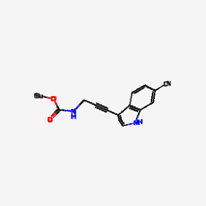 CC(C)(C)OC(=O)NCC#Cc1c[nH]c2cc(C#N)ccc12